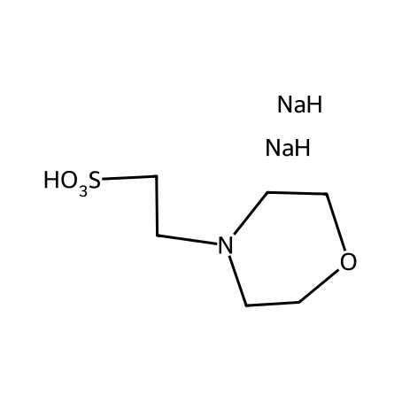 O=S(=O)(O)CCN1CCOCC1.[NaH].[NaH]